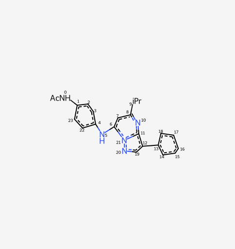 CC(=O)Nc1ccc(Nc2cc(C(C)C)nc3c(-c4ccccc4)cnn23)cc1